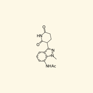 CC(=O)Nc1cccc2c(C3CCC(=O)NC3=O)nn(C)c12